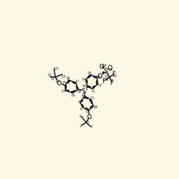 CC(C)(C)Oc1ccc([S+](c2ccccc2)c2ccc(OC(C)(C)C)cc2)cc1.O=S(=O)([O-])C(F)(F)F